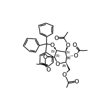 CC(=O)OC[C@H]1O[C@@H](OC(C)=O)[C@@H](OC(c2ccccc2)(c2ccccc2)c2ccccc2)[C@@H](OC(C)=O)[C@@H]1OC(C)=O